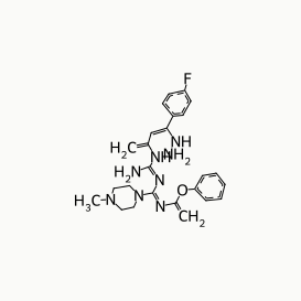 C=C(/C=C(\NN)c1ccc(F)cc1)N/C(N)=N/C(=N\C(=C)Oc1ccccc1)N1CCN(C)CC1